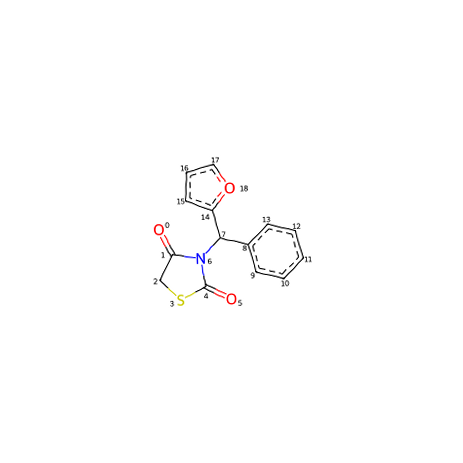 O=C1CSC(=O)N1C(c1ccccc1)c1ccco1